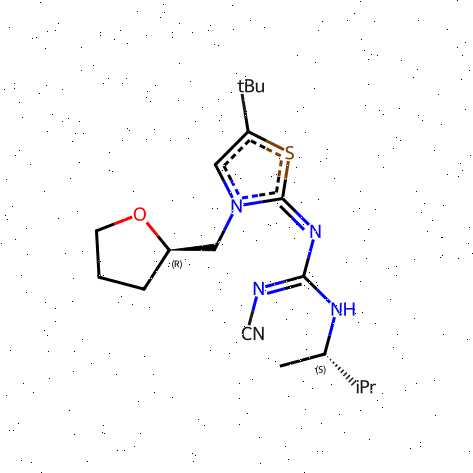 CC(C)[C@H](C)NC(=NC#N)N=c1sc(C(C)(C)C)cn1C[C@H]1CCCO1